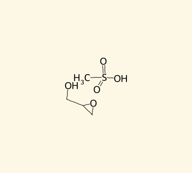 CS(=O)(=O)O.OCC1CO1